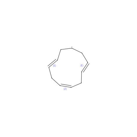 [CH]1C/C=C/C/C=C\C/C=C/C1